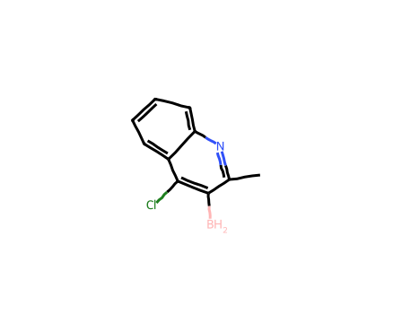 Bc1c(C)nc2ccccc2c1Cl